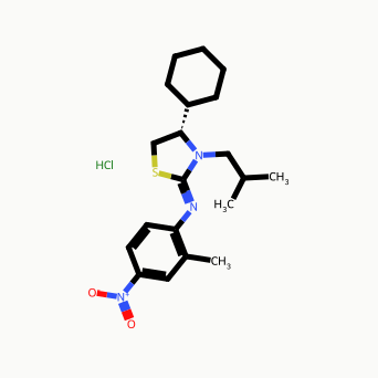 Cc1cc([N+](=O)[O-])ccc1/N=C1\SC[C@H](C2CCCCC2)N1CC(C)C.Cl